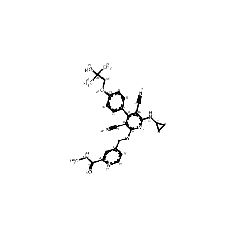 CNC(=O)c1cc(CSc2nc(NC3CC3)c(C#N)c(-c3ccc(OCC(C)(C)O)cc3)c2C#N)ccn1